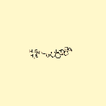 CN(C)CCCO[C@@H]1CC[C@@]2(C)C(CCC3C2CC[C@]2(C)C(=O)CCC32)C1